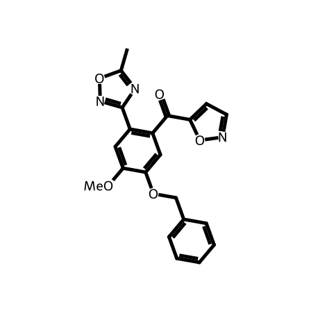 COc1cc(-c2noc(C)n2)c(C(=O)c2ccno2)cc1OCc1ccccc1